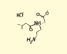 COC(=O)C[C@H](CCCN)NC(=O)CC(C)C.Cl